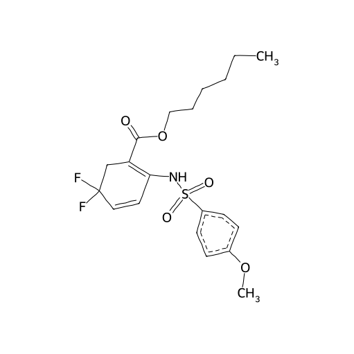 CCCCCCOC(=O)C1=C(NS(=O)(=O)c2ccc(OC)cc2)C=CC(F)(F)C1